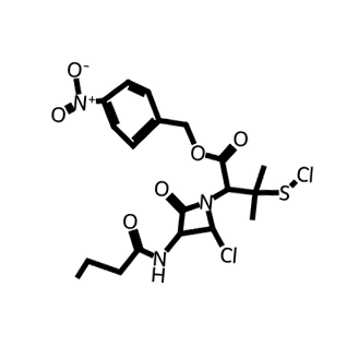 CCCC(=O)NC1C(=O)N(C(C(=O)OCc2ccc([N+](=O)[O-])cc2)C(C)(C)SCl)C1Cl